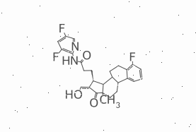 C[C@]12CCC3c4cccc(F)c4CCC3C1[C@H](CCC(=O)Nc1ncc(F)cc1F)/C(=C/O)C2=O